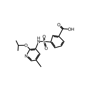 Cc1cnc(OC(C)C)c(NS(=O)(=O)c2cccc(C(=O)O)c2)c1